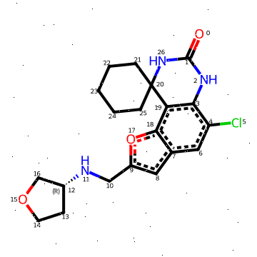 O=C1Nc2c(Cl)cc3cc(CN[C@@H]4CCOC4)oc3c2C2(CCCCC2)N1